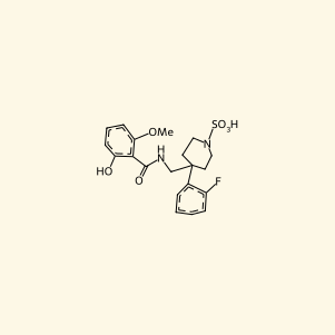 COc1cccc(O)c1C(=O)NCC1(c2ccccc2F)CCN(S(=O)(=O)O)CC1